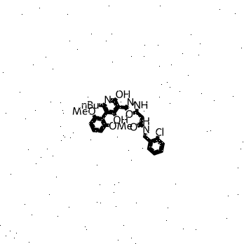 CCCCc1nc(O)c(C2=NNC(CC(=O)NCc3ccccc3Cl)O2)c(O)c1-c1c(OC)cccc1OC